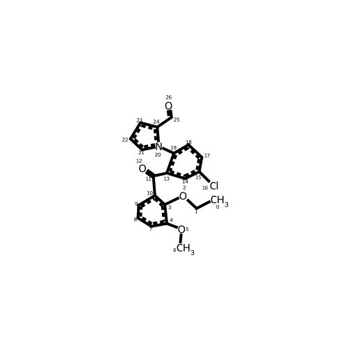 CCOc1c(OC)cccc1C(=O)c1cc(Cl)ccc1-n1cccc1C=O